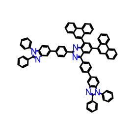 c1ccc(-c2nc3cc(-c4ccc(-c5nc(-c6ccc(-c7ccc8c(c7)nc(-c7ccccc7)n8-c7ccccc7)cc6)c6cc(-c7cc8ccccc8c8ccccc78)cc(-c7cc8ccccc8c8ccccc78)c6n5)cc4)ccc3n2-c2ccccc2)cc1